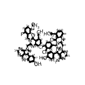 C#Cc1cccc2nc(Cn3nc(-c4ccc(O)cc4)c4c(N)ncnc43)n(Cc3cc(OC)ccc3F)c(=O)c12.C#Cc1cccc2nc(Cn3nc(-c4ccc(O)cc4)c4c(N)ncnc43)n(Cc3ccc(Cl)c(Cl)c3)c(=O)c12